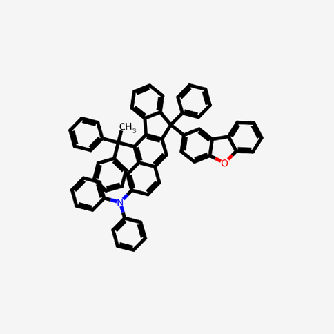 CC(c1ccccc1)(c1ccccc1)c1c2c(cc3ccc(N(c4ccccc4)c4ccccc4)cc13)C(c1ccccc1)(c1ccc3oc4ccccc4c3c1)c1ccccc1-2